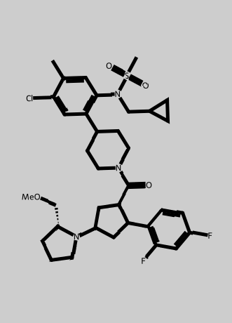 COC[C@H]1CCCN1C1CC(C(=O)N2CCC(c3cc(Cl)c(C)cc3N(CC3CC3)S(C)(=O)=O)CC2)C(c2ccc(F)cc2F)C1